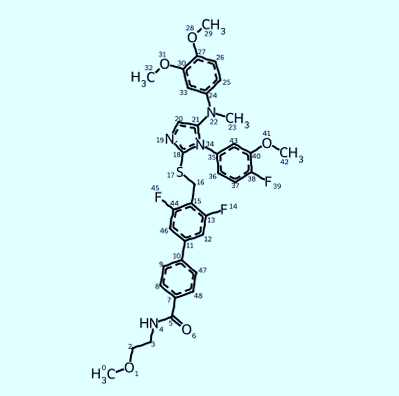 COCCNC(=O)c1ccc(-c2cc(F)c(CSc3ncc(N(C)c4ccc(OC)c(OC)c4)n3-c3ccc(F)c(OC)c3)c(F)c2)cc1